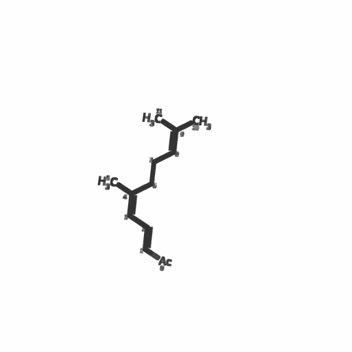 CC(=O)C=CC=C(C)CCC=C(C)C